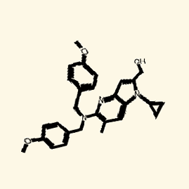 COc1ccc(CN(Cc2ccc(OC)cc2)c2nc3cc(CO)n(C4CC4)c3cc2C)cc1